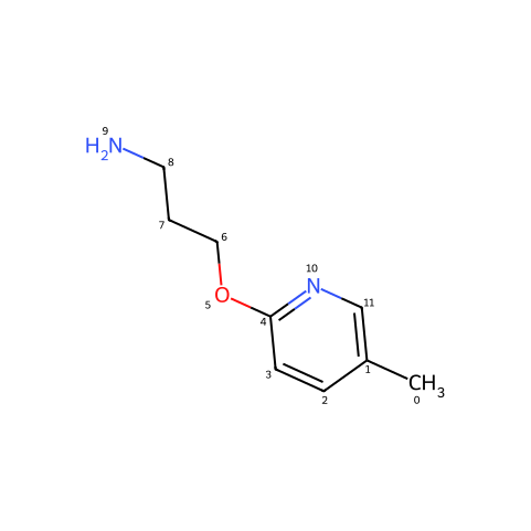 Cc1ccc(OCCCN)nc1